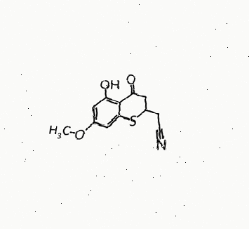 COc1cc(O)c2c(c1)SC(CC#N)CC2=O